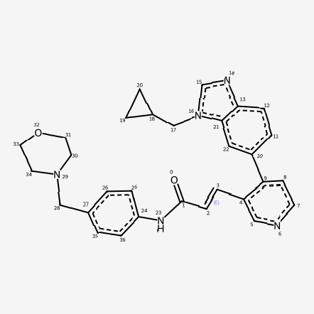 O=C(/C=C/c1cnccc1-c1ccc2ncn(CC3CC3)c2c1)Nc1ccc(CN2CCOCC2)cc1